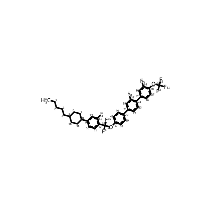 CCCCCC1CCC(c2ccc(C(F)(F)Oc3ccc(-c4ccc(-c5ccc(OC(F)(F)F)c(F)c5)c(F)c4)cc3)c(F)c2)CC1